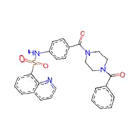 O=C(c1ccccc1)N1CCN(C(=O)c2ccc(NS(=O)(=O)c3cccc4cccnc34)cc2)CC1